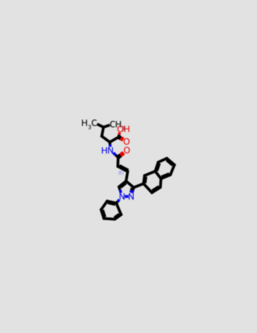 CC(C)CC(NC(=O)/C=C/c1cn(-c2ccccc2)nc1-c1ccc2ccccc2c1)C(=O)O